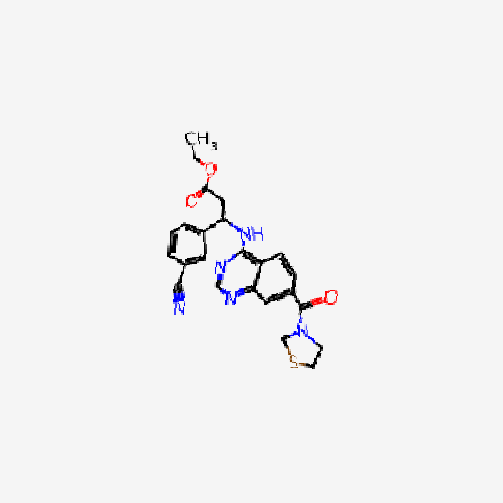 CCOC(=O)CC(Nc1ncnc2cc(C(=O)N3CCSC3)ccc12)c1cccc(C#N)c1